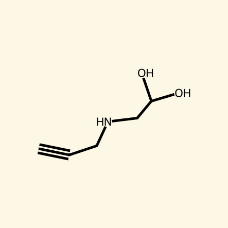 C#CCNCC(O)O